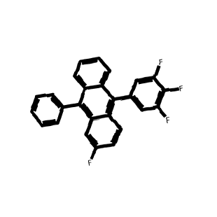 Fc1ccc2c(-c3cc(F)c(F)c(F)c3)c3ccccc3c(-c3ccccc3)c2c1